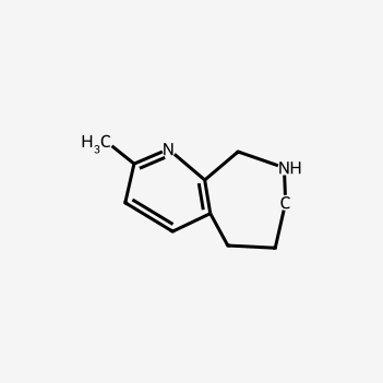 Cc1ccc2c(n1)CNCCC2